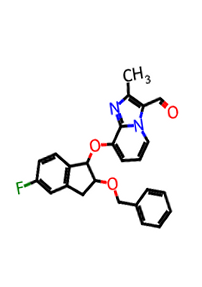 Cc1nc2c(OC3c4ccc(F)cc4CC3OCc3ccccc3)cccn2c1C=O